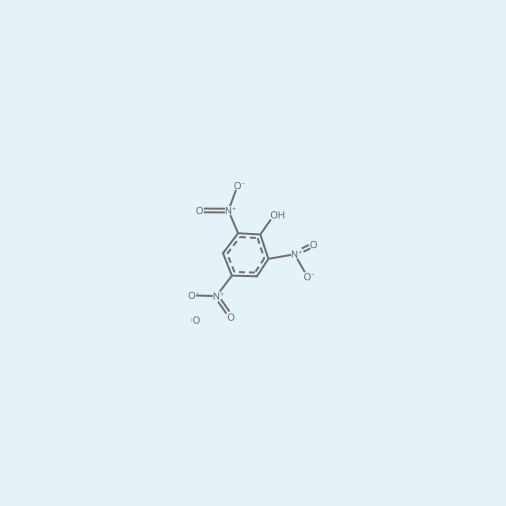 O=[N+]([O-])c1cc([N+](=O)[O-])c(O)c([N+](=O)[O-])c1.[O]